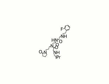 CC(C)CNCC(=O)N(CCCN1CCCC1=O)CC(=O)NC(=O)CNCCc1ccccc1F